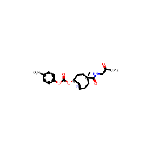 COC(=O)CNC(=O)[C@]1(C)CC/C=C/[C@H](OC(=O)Oc2ccc([N+](=O)[O-])cc2)CC1